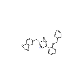 CC(Cc1ccc2c(c1)OCO2)/N=C\C(=O)c1ccccc1OCc1ccccc1